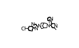 Cc1cc(N2CC3CC(CN(c4cnc5cc(Cl)ccc5n4)C3)C2)c(-n2cccn2)[c]n1